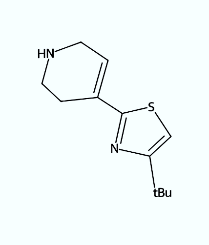 CC(C)(C)c1csc(C2=CCNCC2)n1